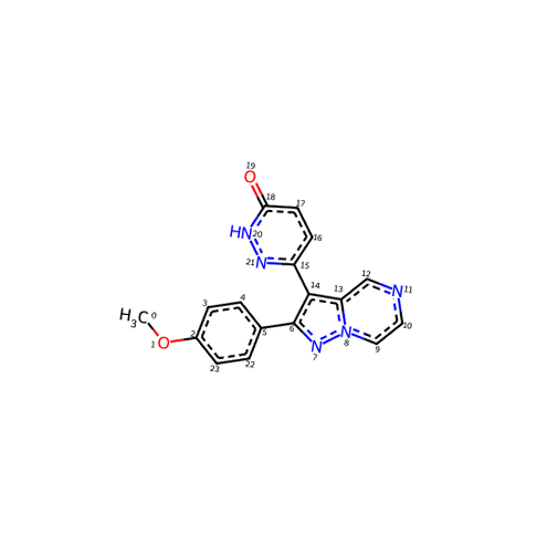 COc1ccc(-c2nn3ccncc3c2-c2ccc(=O)[nH]n2)cc1